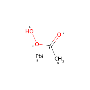 CC(=O)OO.[Pb]